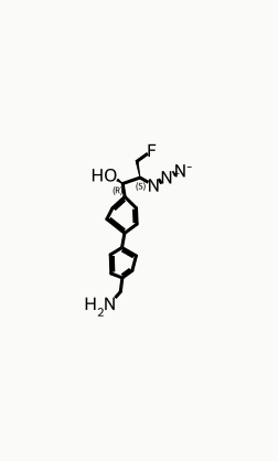 [N-]=[N+]=N[C@H](CF)[C@H](O)c1ccc(-c2ccc(CN)cc2)cc1